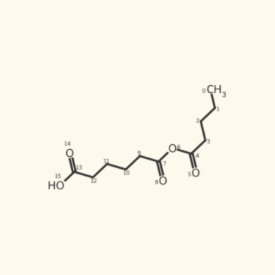 CCCCC(=O)OC(=O)CCCCC(=O)O